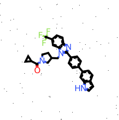 O=C(C1CC1)N1CCC(Cn2c(-c3ccc(-c4ccc5cc[nH]c5c4)cc3)nc3ccc(C(F)(F)F)cc32)C1